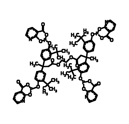 CC(C)(C)c1cc(C(C)(CC(=O)OCCOC(=O)CC(C)(c2ccc(OP3OC(=O)c4cccnc4O3)c(C(C)(C)C)c2)c2ccc(OP3OC(=O)c4cccnc4O3)c(C(C)(C)C)c2)c2ccc(OP3OC(=O)c4cccnc4O3)c(C(C)(C)C)c2)ccc1OP1OC(=O)c2cccnc2O1